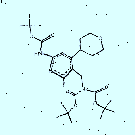 Cc1nc(NC(=O)OC(C)(C)C)cc(C2CCOCC2)c1CN(C(=O)OC(C)(C)C)C(=O)OC(C)(C)C